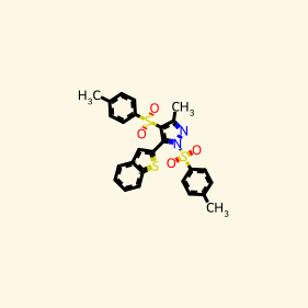 Cc1ccc(S(=O)(=O)c2c(C)nn(S(=O)(=O)c3ccc(C)cc3)c2-c2cc3ccccc3s2)cc1